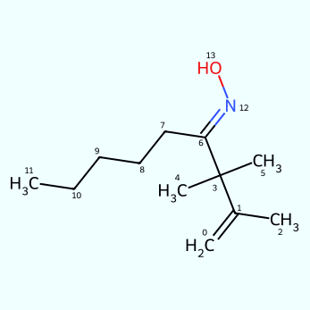 C=C(C)C(C)(C)/C(CCCCC)=N/O